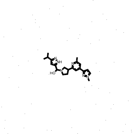 Cc1cc(-c2ccn(C)n2)cc(C2CCN(C(O)c3cc(C(C)C)n[nH]3)C2)n1